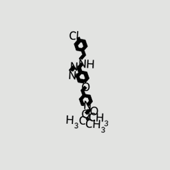 CC(C)(C)OC(=O)N1CCC(COc2ccc3c(NCCC4C=CC(Cl)=CC4)ncnc3c2)CC1